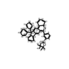 CC1(C)OB(c2cccc(-c3nc4ccccc4c4cc5c(cc34)-c3ccccc3C5(c3ccccc3)c3ccccc3)c2)OC1(C)C